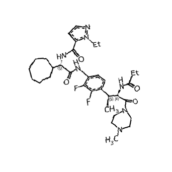 CCC(=O)N[C@@H](C(=O)N1CCN(C)CC1)[C@@H](C)c1ccc(NC(=O)[C@@H](NC(=O)c2ccnn2CC)C2CCCCCC2)c(F)c1F